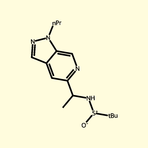 CCCn1ncc2cc(C(C)N[S+]([O-])C(C)(C)C)ncc21